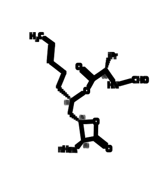 CC=CCC[C@@H](C[C@@H]1OC(=O)[C@H]1CCCCCC)OC(=O)[C@@H](NC=O)C(C)C